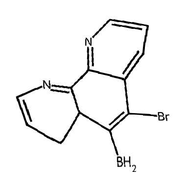 BC1=C(Br)c2cccnc2C2=NC=CCC21